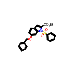 CCOC(=O)c1cc2ccc(OCc3ccccc3)cc2n1S(=O)(=O)c1ccccc1